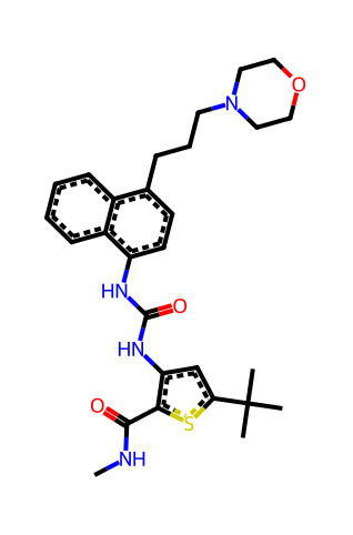 CNC(=O)c1sc(C(C)(C)C)cc1NC(=O)Nc1ccc(CCCN2CCOCC2)c2ccccc12